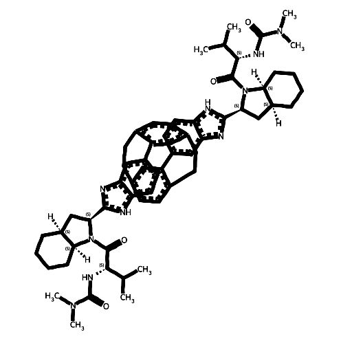 CC(C)[C@H](NC(=O)N(C)C)C(=O)N1[C@H](c2nc3cc(-c4cc5ccc4CCc4ccc(c(-c6ccc7[nH]c([C@@H]8C[C@@H]9CCCC[C@@H]9N8C(=O)[C@@H](NC(=O)N(C)C)C(C)C)nc7c6)c4)CC5)ccc3[nH]2)C[C@@H]2CCCC[C@@H]21